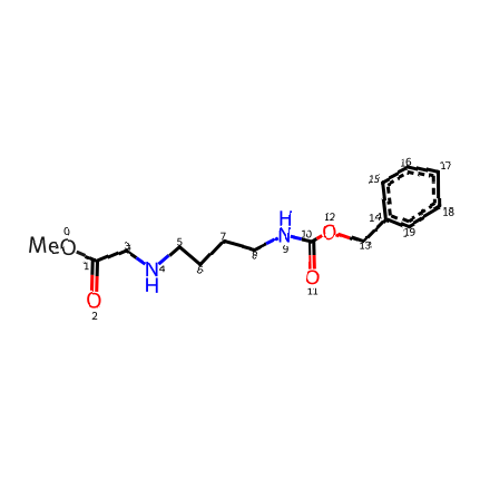 COC(=O)CNCCCCNC(=O)OCc1ccccc1